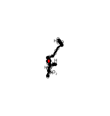 O=C1CCC(N2Cc3c(C#CCOCCOCCOCCN4CC(COc5cccc(-c6ccc(Cl)cc6)c5CN5CCN(c6ccc(C(=O)NS(=O)(=O)c7ccc(NCC8CCOCC8)c([N+](=O)[O-])c7)c(Oc7cnc8[nH]ccc8c7)c6)CC5)C4)cccc3C2=O)C(=O)N1